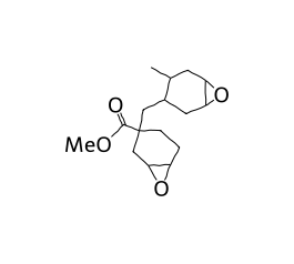 COC(=O)C1(CC2CC3OC3CC2C)CCC2OC2C1